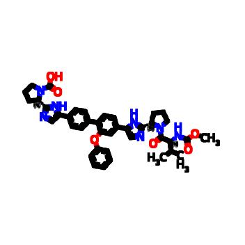 COC(=O)N[C@H](C(=O)N1CCC[C@H]1c1ncc(-c2ccc(-c3ccc(-c4cnc([C@@H]5CCCN5C(=O)O)[nH]4)cc3)c(Oc3ccccc3)c2)[nH]1)C(C)C